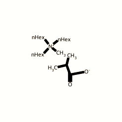 CC(C)C(=O)[O-].CCCCCC[N+](C)(CCCCCC)CCCCCC